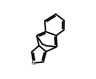 C1=NC=C2C3=c4ccccc4=C(CC3)C12